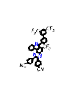 N#Cc1ccc(-c2nc3cc(C(F)(F)F)c4c(-c5cccc(-c6cc(C(F)(F)F)cc(C(F)(F)F)c6)c5)nc5ccccc5c4c3nc2-c2ccc(C#N)cc2)cc1